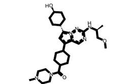 COC[C@H](C)Nc1ncc2c(C3CCC(C(=O)N4CCN(C)CC4)CC3)cc([C@H]3CC[C@H](O)CC3)n2n1